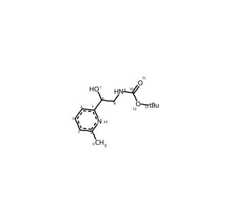 Cc1cccc(C(O)CNC(=O)OC(C)(C)C)n1